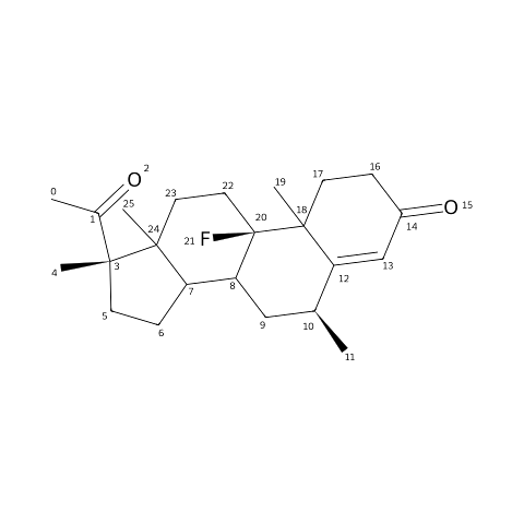 CC(=O)[C@@]1(C)CCC2C3C[C@H](C)C4=CC(=O)CCC4(C)[C@@]3(F)CCC21C